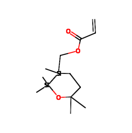 C=CC(=O)OC[Si]1(C)CCC(C)(C)O[Si]1(C)C